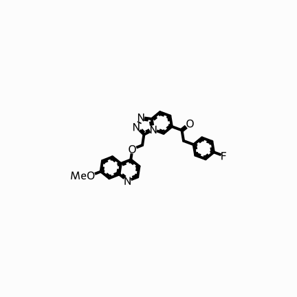 COc1ccc2c(OCc3nnc4ccc(C(=O)Cc5ccc(F)cc5)cn34)ccnc2c1